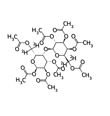 [2H]C([2H])(OC(C)=O)[C@H]1O[C@@H](O[C@@H]2[C@H](OC(C)=O)[C@@H](OC(C)=O)[C@@H](OC(C)=O)O[C@@H]2C([2H])([2H])OC(C)=O)[C@H](OC(C)=O)[C@@H](OC(C)=O)[C@H]1OC(C)=O